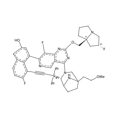 COCCC12CCC(CN(c3nc(OC[C@@]45CCCN4C[C@H](F)C5)nc4c(F)c(-c5cc(O)cc6ccc(F)c(C#C[Si](C(C)C)(C(C)C)C(C)C)c56)ncc34)C1)N2